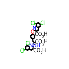 O=C(O)c1cc2cc(Cl)cc(Cl)c2nc1N[C@@H](Cc1ccc(Oc2nc3c(Cl)cc(Cl)cc3cc2C(=O)O)cc1)C(=O)O